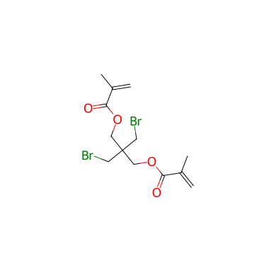 C=C(C)C(=O)OCC(CBr)(CBr)COC(=O)C(=C)C